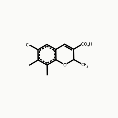 Cc1c(Cl)cc2c(c1C)OC(C(F)(F)F)C(C(=O)O)=C2